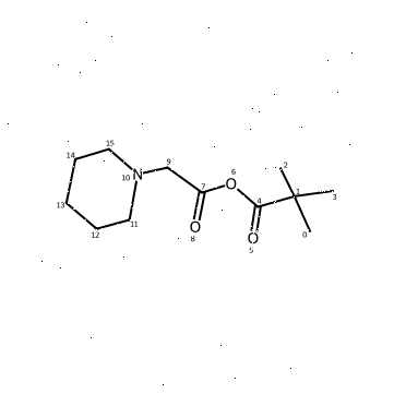 CC(C)(C)C(=O)OC(=O)CN1CCCCC1